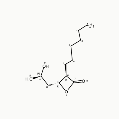 CCCCCC[C@H]1C(=O)O[C@@H]1C[C@@H](C)O